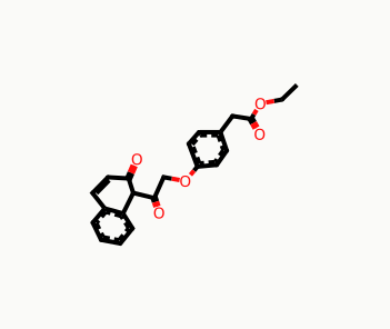 CCOC(=O)Cc1ccc(OCC(=O)C2C(=O)C=Cc3ccccc32)cc1